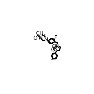 CC(=O)N1CCN(c2ccc(CN3CCC(c4ccc(F)cc4)S3(=O)=O)c(F)c2)CC1